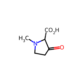 CN1CCC(=O)C1C(=O)O